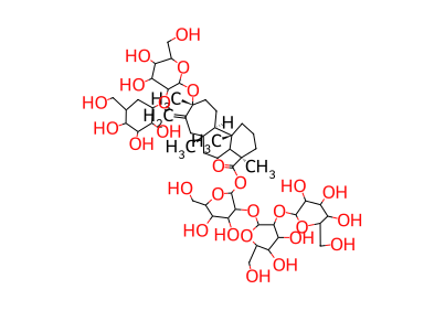 C=C1C[C@@]2(C)CCC3[C@](C)(C(=O)OC4OC(CO)C(O)C(O)C4OC4OC(CO)C(O)C(O)C4OC4OC(CO)C(O)C(O)C4O)CCC[C@@]3(C)[C@@H]2CC[C@@]1(C)OC1OC(CO)C(O)C(O)C1OC1CC(CO)C(O)C(O)C1O